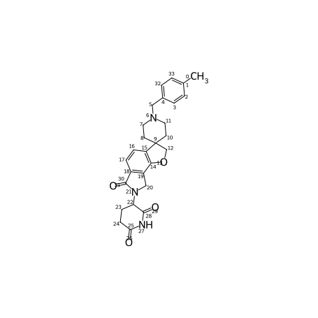 Cc1ccc(CN2CCC3(CC2)COc2c3ccc3c2CN(C2CCC(=O)NC2=O)C3=O)cc1